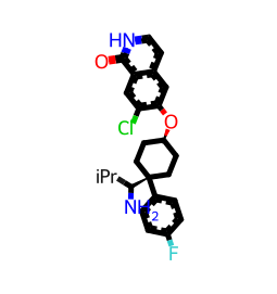 CC(C)C(N)[C@]1(c2ccc(F)cc2)CC[C@H](Oc2cc3cc[nH]c(=O)c3cc2Cl)CC1